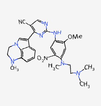 COc1cc(N(C)CCN(C)C)c([N+](=O)[O-])cc1Nc1ncc(C#N)c(-c2cn3c4c(cccc24)N(C)CC3)n1